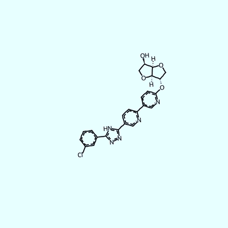 O[C@@H]1CO[C@H]2[C@@H]1OC[C@@H]2Oc1ccc(-c2ccc(-c3nnc(-c4cccc(Cl)c4)[nH]3)cn2)cn1